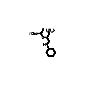 CCCCCCCCCCC(=O)OC(CNC1CCCCC1)CS(=O)(=O)O